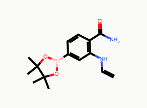 C=CNc1cc(B2OC(C)(C)C(C)(C)O2)ccc1C(N)=O